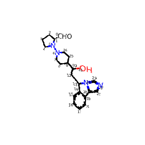 O=C[C@@H]1CCCN1N1CCC(C(O)CC2c3ccccc3-c3cncn32)CC1